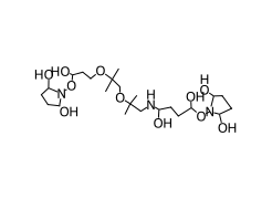 CC(C)(CNC(O)CCC(O)ON1C(O)CCC1O)OCC(C)(C)OCCC(O)ON1C(O)CCC1O